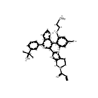 C=CC(=O)N1CCc2nc(-c3nc(-c4cccc(C(C)(C)O)c4)c4ccsc4c3-c3c(F)cc(F)cc3OCCOC)sc2C1